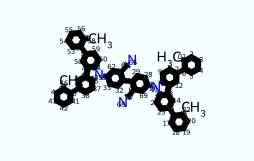 Cc1ccccc1-c1ccc2c(c1)c1cc(-c3ccccc3C)ccc1n2-c1ccc(-c2ccc(-n3c4ccc(-c5ccccc5C)cc4c4cc(-c5ccccc5C)ccc43)cc2C#N)c(C#N)c1